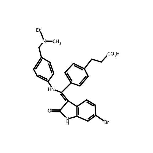 CCN(C)Cc1ccc(N/C(=C2\C(=O)Nc3cc(Br)ccc32)c2ccc(CCC(=O)O)cc2)cc1